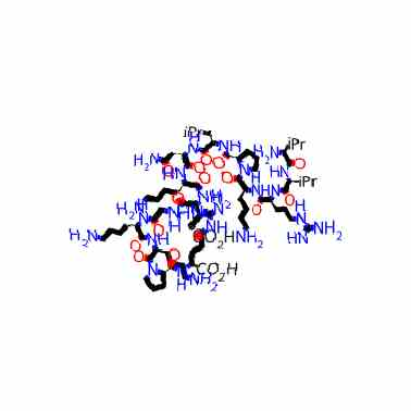 CC(C)C[C@H](NC(=O)[C@@H]1CCCN1C(=O)[C@H](CCCCN)NC(=O)[C@H](CCCNC(=N)N)NC(=O)[C@@H](NC(=O)[C@@H](N)C(C)C)C(C)C)C(=O)N[C@@H](CC(N)=O)C(=O)N[C@@H](CCCCN)C(=O)N[C@@H](CCC(=O)O)C(=O)NCC(=O)N[C@@H](CCCCN)C(=O)N[C@@H](CCCCN)C(=O)N1CCC[C@H]1C(=O)N[C@@H](CCCNC(=N)N)C(=O)O